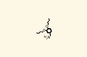 CCCCOc1ccc(CN)cc1OCCCC